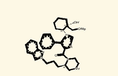 COC[C@]1(O)CCCC[C@H]1n1cnc(C(=O)N2CCNC[C@H]2CCCn2cc3ccccc3n2)c1-c1ccccc1